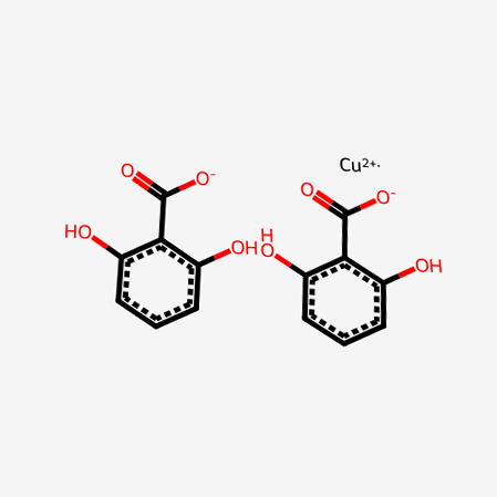 O=C([O-])c1c(O)cccc1O.O=C([O-])c1c(O)cccc1O.[Cu+2]